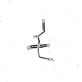 CCS(=O)(=O)NC=O